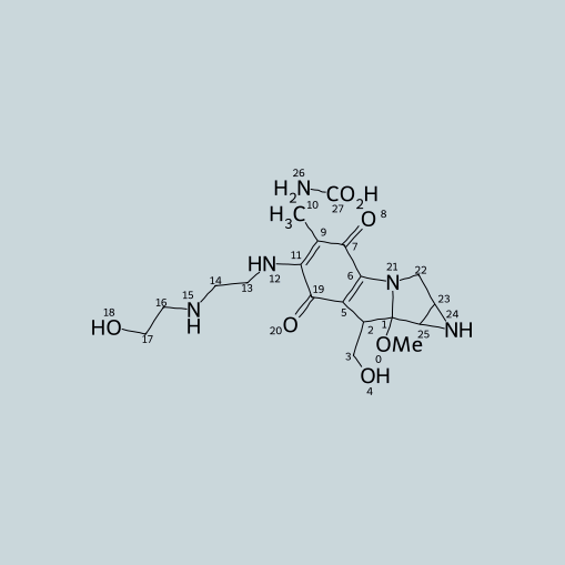 COC12C(CO)C3=C(C(=O)C(C)=C(NCCNCCO)C3=O)N1CC1NC12.NC(=O)O